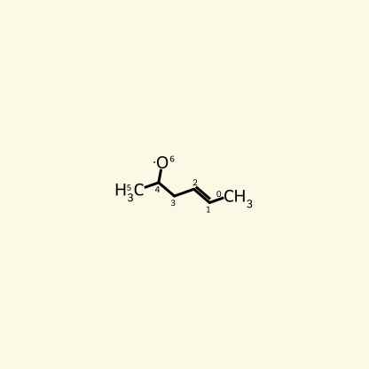 CC=CCC(C)[O]